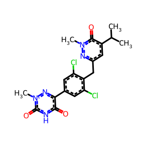 CC(C)c1cc(Cc2c(Cl)cc(-c3nn(C)c(=O)[nH]c3=O)cc2Cl)nn(C)c1=O